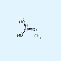 C.O=[AsH](O)O